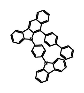 c1ccc(-c2ccc(-c3c4ccccc4cc4c5ccccc5n(-c5ccc(-n6c7ccccc7c7ccccc76)cc5)c34)cc2)cc1